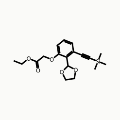 CCOC(=O)COc1cccc(C#C[Si](C)(C)C)c1C1OCCO1